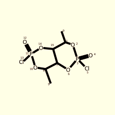 CC1OP(=O)(Cl)OC2C(C)OP(=O)(Cl)OC12